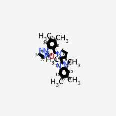 Cc1cc(C(=O)N2CCC[C@@]2(C)c2nc3cc(C)c(C)cc3n2C)c(-n2nccn2)cc1C